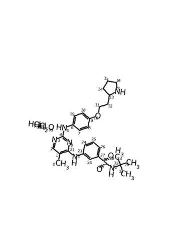 Cc1cnc(Nc2ccc(OCCC3CCCN3)cc2)nc1Nc1cccc(S(=O)(=O)NC(C)(C)C)c1.Cl.Cl.O